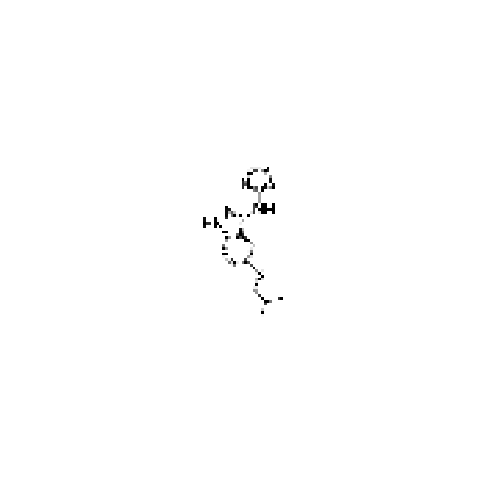 CC(C)CSc1ccc2[nH]nc(Nc3nccs3)c2c1